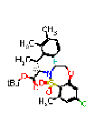 Cc1ccc(F)c(C(C)[C@@H](C(=O)OC(C)(C)C)N2CCOc3cc(Cl)cc(C)c3S2(=O)=O)c1C